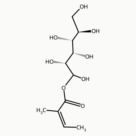 CC=C(C)C(=O)OC(O)[C@H](O)[C@@H](O)[C@H](O)[C@H](O)CO